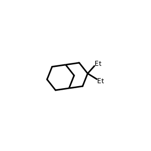 CCC1(CC)CC2CCCC(C2)C1